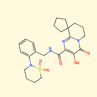 O=C(NCc1ccccc1N1CCCCS1(=O)=O)c1nc2n(c(=O)c1O)CCCC21CCCC1